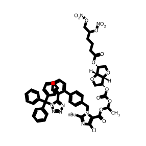 CCCCc1nc(Cl)c(C(=O)OC(C)OC(=O)O[C@@H]2CO[C@H]3[C@@H]2OC[C@H]3OC(=O)CCCC(CO[N+](=O)[O-])O[N+](=O)[O-])n1Cc1ccc(-c2ccccc2-c2nnnn2C(c2ccccc2)(c2ccccc2)c2ccccc2)cc1